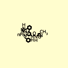 CCCN(Cc1ccccc1)c1cc(NC(=O)Nc2cc(C)no2)cc(-c2ccccc2-c2nnn[nH]2)n1